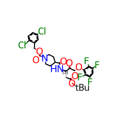 CC(C)(C)OC(=O)C[C@H](NC(=O)C1CCN(C(=O)OCc2cc(Cl)ccc2Cl)CC1)C(=O)COc1c(F)c(F)cc(F)c1F